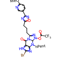 CCCCCN1c2nc(Br)[nH]c2C(=O)N2C(CCCc3nc(-c4ccc(OC)nc4)no3)=NN(OC(=O)C(F)(F)F)C21